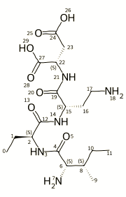 CC[C@H](NC(=O)[C@@H](N)[C@@H](C)CC)C(=O)N[C@@H](CCN)C(=O)N[C@@H](CC(=O)O)C(=O)O